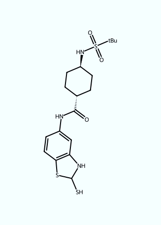 CC(C)(C)S(=O)(=O)N[C@H]1CC[C@H](C(=O)Nc2ccc3c(c2)NC(S)S3)CC1